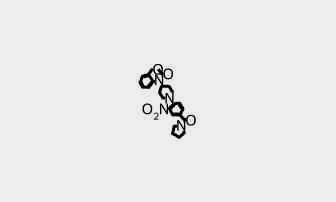 O=C(c1ccc(N2CCC(N3C(=O)OCc4ccccc43)CC2)c([N+](=O)[O-])c1)N1CCCC1